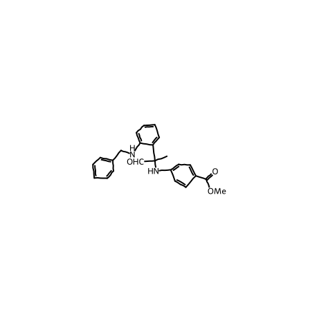 COC(=O)c1ccc(NC(C)(C=O)c2ccccc2NCc2ccccc2)cc1